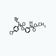 CCOC(=O)Nc1cccc(OC(=O)N(CCBr)c2ccc(Cl)cc2)c1